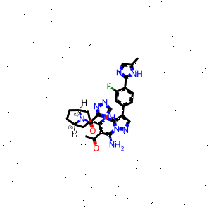 CC(=O)c1c(C2C[C@H]3CC[C@@H](C2)N3C(=O)c2nnc[nH]2)nc2c(-c3ccc(-c4ncc(C)[nH]4)c(F)c3)cnn2c1N